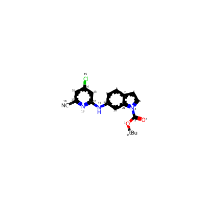 CC(C)(C)OC(=O)n1ccc2ccc(Nc3cc(Cl)cc(C#N)n3)cc21